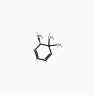 CC1(C)C=CC=C[C@H]1N